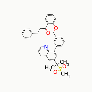 CC(C)(c1cc(-c2cccc(COc3ccccc3C(=O)CCc3ccccc3)c2)c2ncccc2c1)S(C)(=O)=O